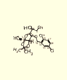 C#C[C@]12O[C@H]([C@H](O)CO)[C@@H](OCc3cc(Cl)ccc3Cl)[C@H]1OC(C)(C)O2